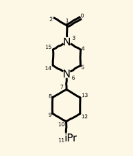 C=C(C)N1CCN(C2CCC(C(C)C)CC2)CC1